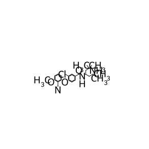 COc1cccc(Oc2ccc(C(=O)NC3CC(C)(C)NC(C)(C)C3)cc2Cl)c1C#N